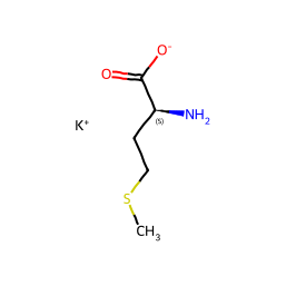 CSCC[C@H](N)C(=O)[O-].[K+]